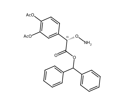 CC(=O)Oc1ccc([C@H](ON)C(=O)OC(c2ccccc2)c2ccccc2)cc1OC(C)=O